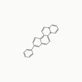 C1=CB2c3ccc4cc(-c5ccccc5)ccc4c3C=CN2C=C1